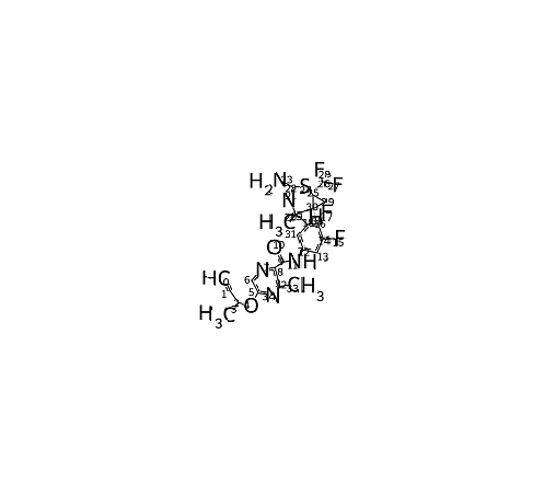 C#C[C@H](C)Oc1cnc(C(=O)Nc2cc(F)c(F)c([C@]3(C)N=C(N)S[C@@]4(C(F)F)C[C@@H]34)c2)c(C)n1